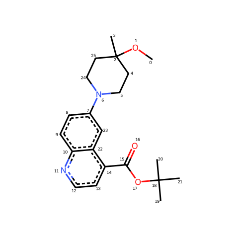 COC1(C)CCN(c2ccc3nccc(C(=O)OC(C)(C)C)c3c2)CC1